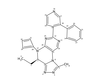 CC[C@@H]1c2nnc(C)n2-c2cnc(-c3ccncc3-c3ccccc3)nc2N1C1=CC=C1